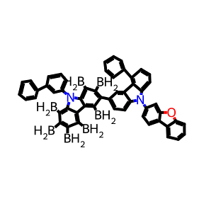 Bc1c(B)c(B)c2c(c1B)c1c(B)c(-c3ccc4c(c3)c3c(-c5ccccc5)cccc3n4-c3ccc4c(c3)oc3ccccc34)c(B)c(B)c1n2-c1cccc(-c2ccccc2)c1